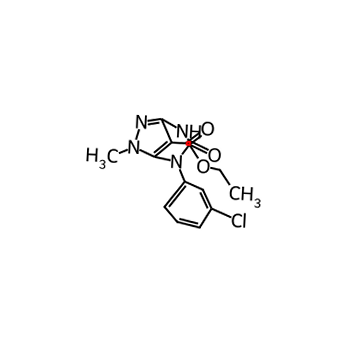 CCOC(=O)c1c2nn(C)c1N(c1cccc(Cl)c1)C(=O)N2